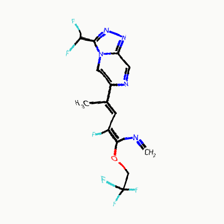 C=N/C(OCC(F)(F)F)=C(F)\C=C(/C)c1cn2c(C(F)F)nnc2cn1